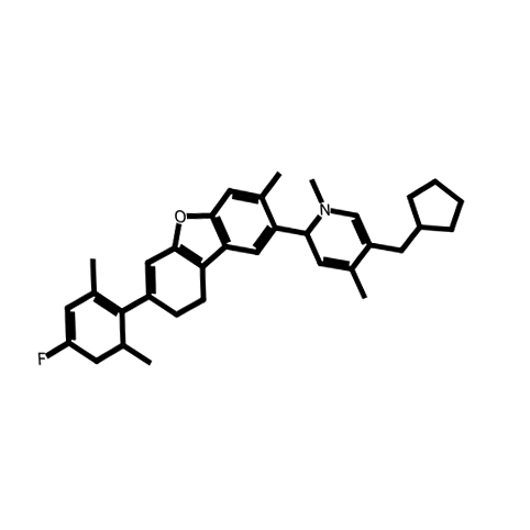 CC1=CC(c2cc3c4c(oc3cc2C)C=C(C2=C(C)C=C(F)CC2C)CC4)N(C)C=C1CC1CCCC1